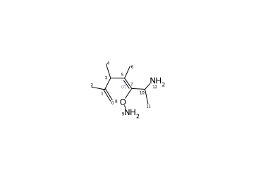 C=C(C)C(C)/C(C)=C(\ON)C(C)N